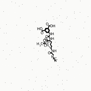 CC(C)(C)OC(=O)C(CCCCNC(=O)CN=[N+]=[N-])NC(=O)Nc1cc(C(=O)O)cc(C(=O)O)c1